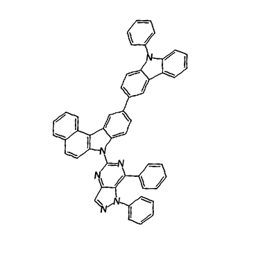 c1ccc(-c2nc(-n3c4ccc(-c5ccc6c(c5)c5ccccc5n6-c5ccccc5)cc4c4c5ccccc5ccc43)nc3cnn(-c4ccccc4)c23)cc1